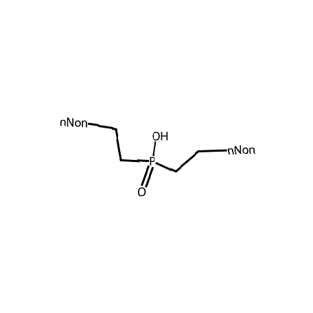 CCCCCCCCCCCP(=O)(O)CCCCCCCCCCC